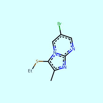 CCSc1c(C)nc2ncc(Br)cn12